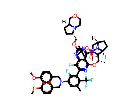 COc1ccc(CN(Cc2ccc(OC)cc2)c2cc(C)c(C(F)(F)F)c(-c3nc4c5c(nc(OC[C@@H]6CC[C@H]7COCCN76)nc5c3F)N3C[C@H]5CC[C@@H]([C@H]3[C@H](C)O4)N5C(=O)OC(C)(C)C)c2F)cc1